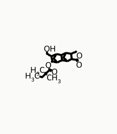 CCC(C)(C)C(=O)OC1C(CO)C2CC1C1C3CC(C4COC(=O)C43)C21